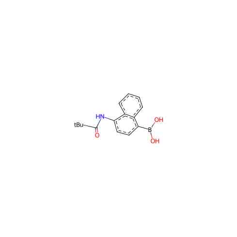 CC(C)(C)C(=O)Nc1ccc(B(O)O)c2ccccc12